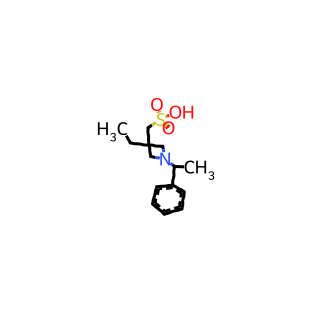 CCC1(CS(=O)(=O)O)CN(C(C)c2ccccc2)C1